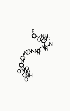 C[C@@H](Oc1cc(-c2c(C#N)ncn2Cc2cnn(CCN3CCN(CC4CCN(c5ccc6c(c5)C(=O)N(C5CCC(=O)NC5=O)C6=O)CC4)CC3)c2)cnc1N)c1cccc(F)c1